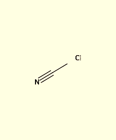 CC#N.[C]